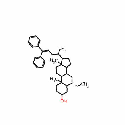 CC[C@H]1CC2C3CCC(C(C)CC=C(c4ccccc4)c4ccccc4)C3(C)CCC2C2(C)CCC(O)CC12